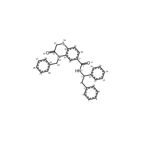 O=C(NC(Cc1ccccc1)c1ccccc1)c1ccc2c(c1)N(Cc1ccccc1)C(=O)CS2